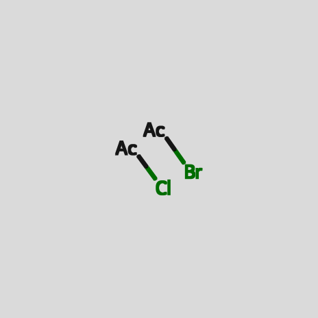 CC(=O)Br.CC(=O)Cl